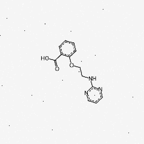 O=C(O)c1ccccc1OCCNc1ncccn1